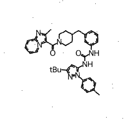 Cc1ccc(-n2nc(C(C)(C)C)cc2NC(=O)Nc2cccc(CC3CCN(C(=O)c4c(C)nc5ccccn45)CC3)c2)cc1